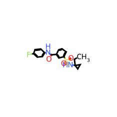 CCC1(NS(=O)(=O)c2cccc(C(=O)Nc3ccc(F)cc3)c2)CC1